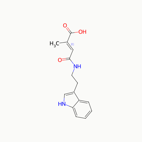 C/C(=C\C(=O)NCCc1c[nH]c2ccccc12)C(=O)O